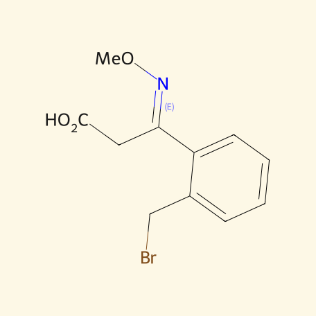 CO/N=C(\CC(=O)O)c1ccccc1CBr